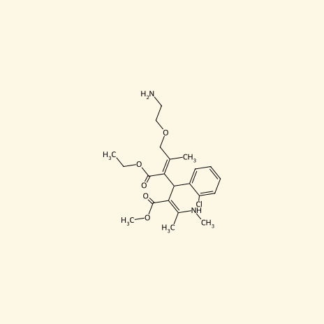 CCOC(=O)/C(=C(/C)COCCN)C(/C(C(=O)OC)=C(/C)NC)c1ccccc1Cl